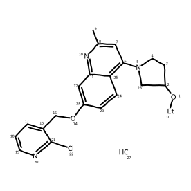 CCOC1CCN(c2cc(C)nc3cc(OCc4cccnc4Cl)ccc23)C1.Cl